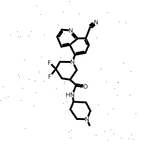 CN1CCC(NC(=O)C2CN(c3ccc(C#N)c4ncccc34)CC(F)(F)C2)CC1